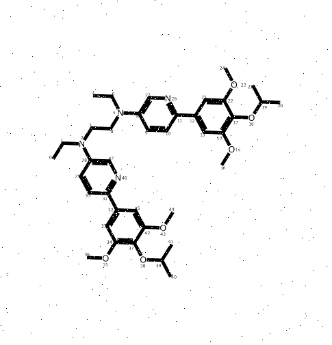 CCN(CCN(CC)c1ccc(-c2cc(OC)c(OC(C)C)c(OC)c2)nc1)c1ccc(-c2cc(OC)c(OC(C)C)c(OC)c2)nc1